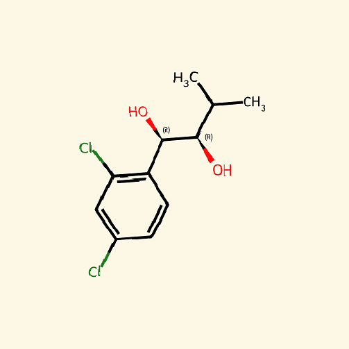 CC(C)[C@@H](O)[C@H](O)c1ccc(Cl)cc1Cl